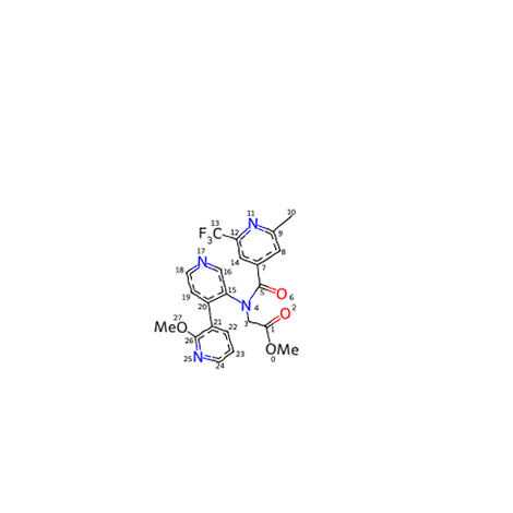 COC(=O)CN(C(=O)c1cc(C)nc(C(F)(F)F)c1)c1cnccc1-c1cccnc1OC